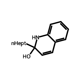 CCCCCCCC1(O)C=Cc2ccccc2N1